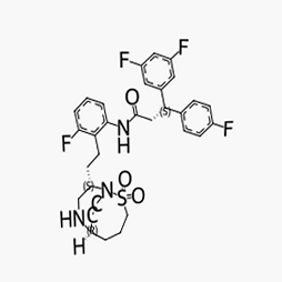 O=C(C[C@@H](c1ccc(F)cc1)c1cc(F)cc(F)c1)Nc1cccc(F)c1CC[C@H]1CN[C@@H]2CCCS(=O)(=O)N1CC2